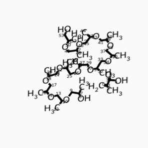 C=C(C)C(=O)O.CC(O)COC(C)COC(C)COC(C)COC(C)COC(C)COC(C)COC(C)COC(C)COC(C)COC(C)COC(C)CO